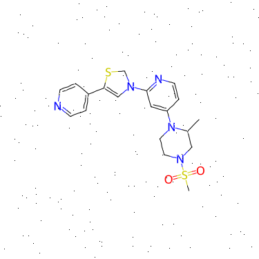 CC1CN(S(C)(=O)=O)CCN1c1ccnc(N2C=C(c3ccncc3)SC2)c1